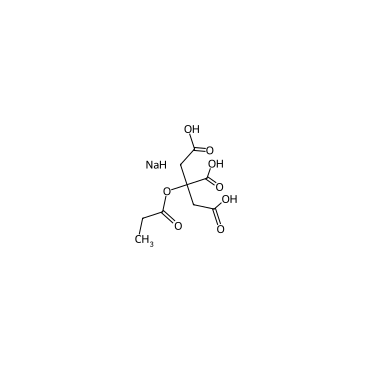 CCC(=O)OC(CC(=O)O)(CC(=O)O)C(=O)O.[NaH]